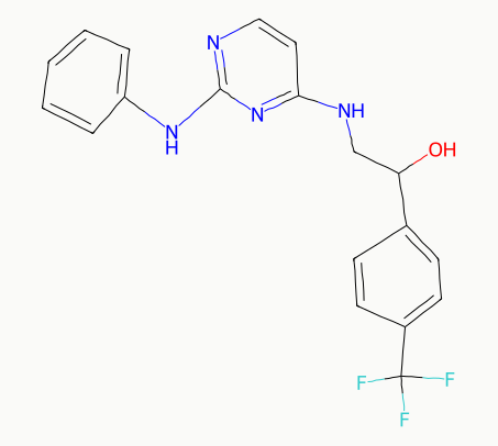 OC(CNc1ccnc(Nc2ccccc2)n1)c1ccc(C(F)(F)F)cc1